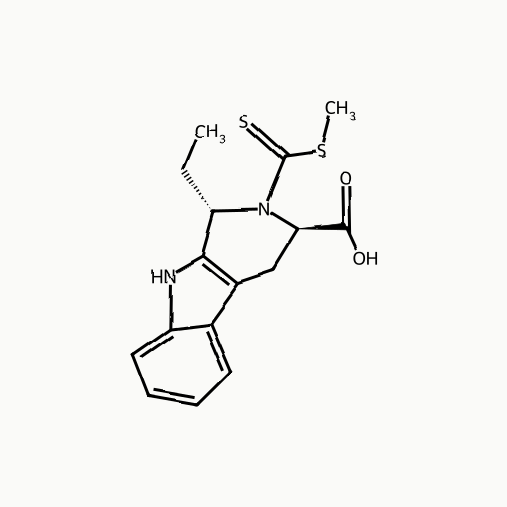 CC[C@H]1c2[nH]c3ccccc3c2C[C@H](C(=O)O)N1C(=S)SC